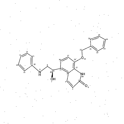 O=c1ccc2c([C@@H](O)CNc3ccccc3)ccc(OCc3ccccc3)c2[nH]1